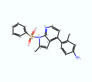 Cc1cc(N)ccc1-c1ccnc2c1cc(C)n2S(=O)(=O)c1ccccc1